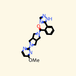 COc1ccnc(N2CC3CN(C(=O)c4ccccc4-c4ncn[nH]4)CC3C2)n1